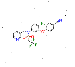 N#Cc1ccc(Oc2cccc(N(Cc3cccnc3)S(=O)(=O)CC(F)(F)F)c2)c(F)c1